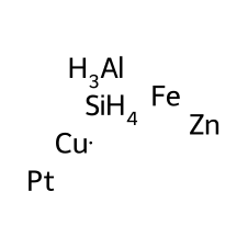 [AlH3].[Cu].[Fe].[Pt].[SiH4].[Zn]